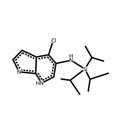 CC(C)[Si](Nc1c[nH]c2nccc-2c1Cl)(C(C)C)C(C)C